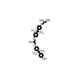 CC(C)(c1ccc(O)cc1)c1ccc(OCC(O)COc2ccc(C(C)(C)c3ccc(OCC(O)CO)cc3)cc2)cc1